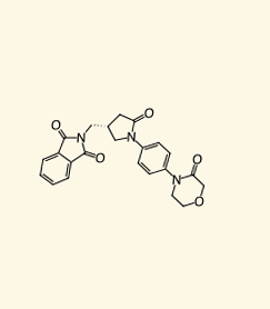 O=C1c2ccccc2C(=O)N1C[C@@H]1CC(=O)N(c2ccc(N3CCOCC3=O)cc2)C1